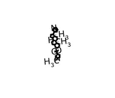 CN1CCC(C(=O)O[C@H]2CC[C@@]3(C)C(=CC[C@@H]4C3CC[C@]3(C)C(c5cccnc5)=CCC43)C2)C1